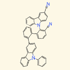 N#Cc1ccc2c(c1)c1ccccc1n2-c1c(C#N)cccc1-c1ccccc1-c1ccc2c(c1)c1ccccc1n2-c1ccccc1